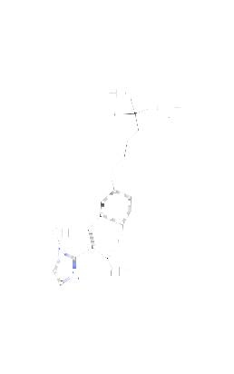 CCCC1Oc2ccc(OCCCC(C)(C)C(=O)O)cc2C=C1c1nccn1C